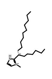 CCCCCCCCCC[C@H](CCCCCC)c1[nH]cc[n+]1C